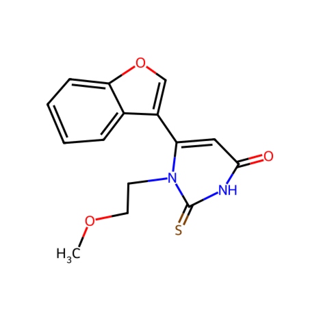 COCCn1c(-c2coc3ccccc23)cc(=O)[nH]c1=S